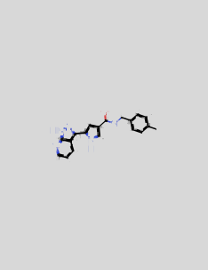 Cc1ccc(CNC(O)c2c[nH]c(-c3n[nH]c4ncccc34)c2)cc1